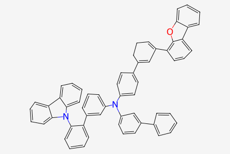 C1=C(c2ccc(N(c3cccc(-c4ccccc4)c3)c3cccc(-c4ccccc4-n4c5ccccc5c5ccccc54)c3)cc2)CCC=C1c1cccc2c1oc1ccccc12